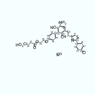 N#Cc1c(N)nc(SCc2csc(-c3ccc(Cl)cc3)n2)c(C#N)c1-c1ccc(OCCOC(=O)CCC(=O)O)cc1.[KH]